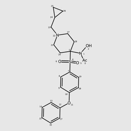 CC(=O)N(O)C1(S(=O)(=O)c2ccc(Oc3ccccc3)cc2)CCN(CC2CC2)CC1